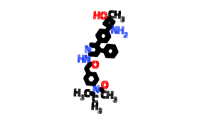 CC(=O)N(C(C)C)C1CCC(CC(=O)Nc2cc(-c3ccccc3)c(-c3ccc(C4(N)CC(C)(O)C4)cc3)cn2)CC1